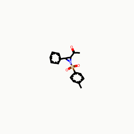 CC(=O)C1C(c2ccccc2)N1S(=O)(=O)c1ccc(C)cc1